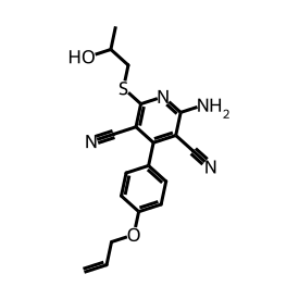 C=CCOc1ccc(-c2c(C#N)c(N)nc(SCC(C)O)c2C#N)cc1